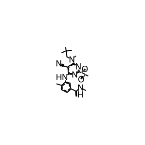 C=C(NC)c1ccc(C)c(Nc2nc(S(C)(=O)=O)nc(N(C)CC(C)(C)C)c2C#N)c1